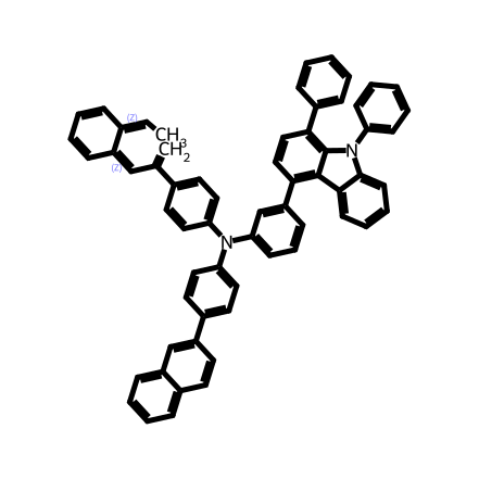 C=C(/C=c1/cccc/c1=C/C)c1ccc(N(c2ccc(-c3ccc4ccccc4c3)cc2)c2cccc(-c3ccc(-c4ccccc4)c4c3c3ccccc3n4-c3ccccc3)c2)cc1